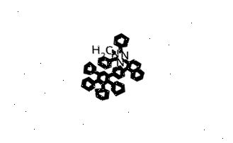 C=N/C(=N\C(=N/Cc1ccccc1)c1ccc2ccccc2c1-c1ccc(-c2cc(-c3ccccc3)c(-c3ccccc3)c(-c3ccccc3)c2-c2ccccc2)cc1)c1ccccc1